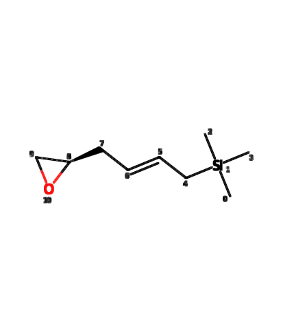 C[Si](C)(C)CC=CC[C@@H]1CO1